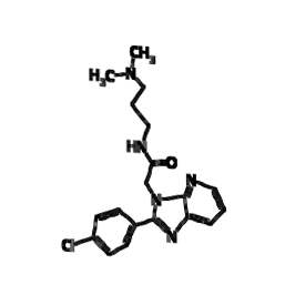 CN(C)CCCNC(=O)Cn1c(-c2ccc(Cl)cc2)nc2cccnc21